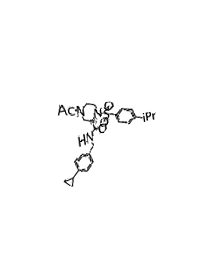 CC(=O)N1CCN(S(=O)(=O)c2ccc(C(C)C)cc2)[C@@H](C(=O)NCc2ccc(C3CC3)cc2)C1